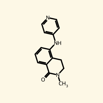 CN1CCc2c(Nc3ccncc3)cccc2C1=O